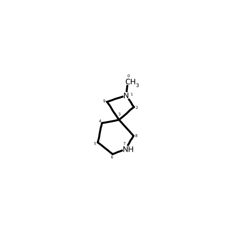 CN1CC2(CCCNC2)C1